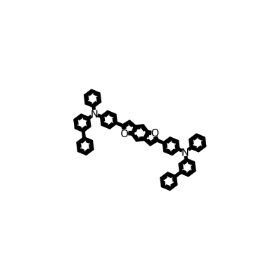 c1ccc(-c2cccc(N(c3ccccc3)c3ccc(-c4cc5cc6oc(-c7ccc(N(c8ccccc8)c8cccc(-c9ccccc9)c8)cc7)cc6cc5o4)cc3)c2)cc1